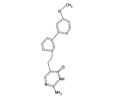 COc1cccc(-c2cccc(CCc3cnc(N)[nH]c3=O)c2)c1